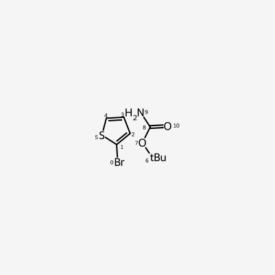 Brc1cccs1.CC(C)(C)OC(N)=O